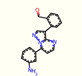 Nc1cccc(-c2ccnc3c(-c4ccccc4C=O)cnn23)c1